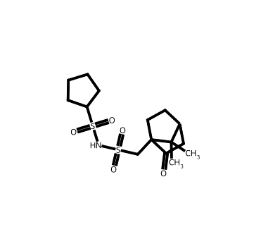 CC1(C)C2CCC1(CS(=O)(=O)NS(=O)(=O)C1CCCC1)C(=O)C2